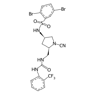 N#CN1C[C@H](NS(=O)(=O)c2cc(Br)ccc2Br)C[C@@H]1CNC(=O)Nc1ccccc1C(F)(F)F